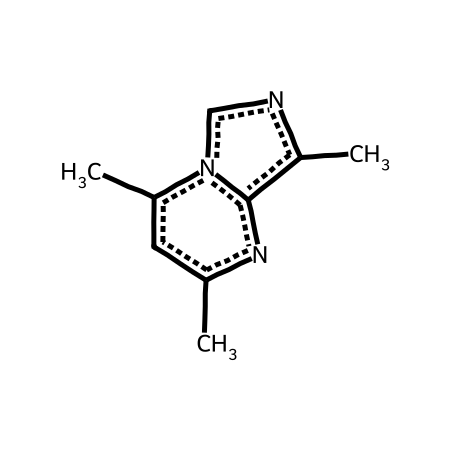 Cc1cc(C)n2cnc(C)c2n1